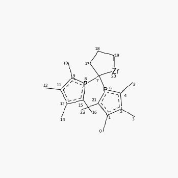 Cc1c(C)c(C)p([C]2(p3c(C)c(C)c(C)c3C)CC[CH2][Zr]2)c1C